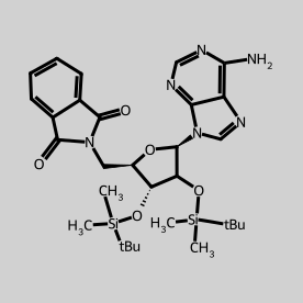 CC(C)(C)[Si](C)(C)OC1[C@H](n2cnc3c(N)ncnc32)O[C@H](CN2C(=O)c3ccccc3C2=O)[C@H]1O[Si](C)(C)C(C)(C)C